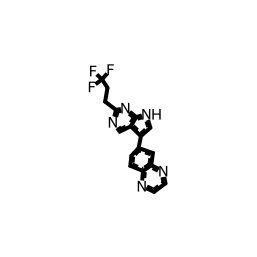 FC(F)(F)CCc1ncc2c(-c3ccc4nccnc4c3)c[nH]c2n1